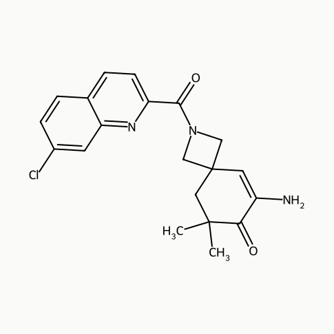 CC1(C)CC2(C=C(N)C1=O)CN(C(=O)c1ccc3ccc(Cl)cc3n1)C2